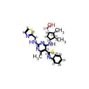 Cc1nc(NCc2nccs2)nc(N[C@@H]2C[C@H](CO)[C@@H](C)[C@H]2C)c1-c1nc2ccccc2s1